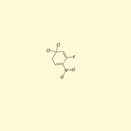 O=[N+]([O-])C1=CCC(Cl)(Cl)C=C1F